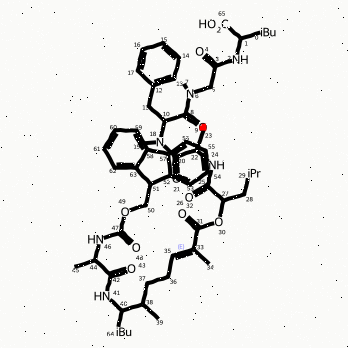 CCC(C)C(NC(=O)CN(C)C(=O)C(Cc1ccccc1)N(C)C(=O)C(C)NC(=O)C(CC(C)C)OC(=O)/C(C)=C/CCC(C)C(NC(=O)C(C)NC(=O)OCC1c2ccccc2-c2ccccc21)C(C)CC)C(=O)O